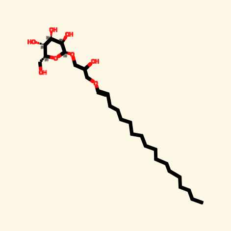 CCCCCCCCCCCCCCCCC=COCC(O)CO[C@H]1O[C@H](CO)[C@H](O)[C@H](O)[C@H]1O